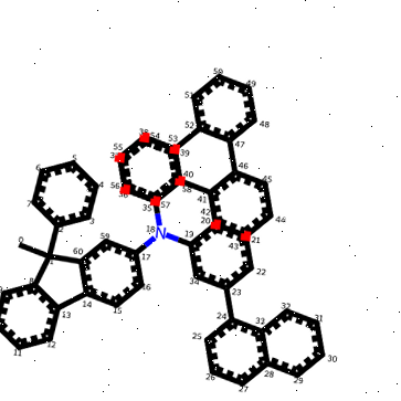 CC1(c2ccccc2)c2ccccc2-c2ccc(N(c3cccc(-c4cccc5ccccc45)c3)c3ccccc3-c3ccccc3-c3ccccc3-c3ccccc3)cc21